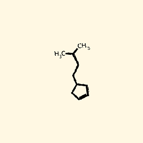 CC(C)CCC1CC=CC1